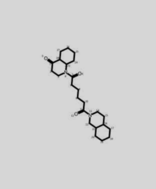 O=C1CCN(C(=O)CCCCC(=O)N2CCC3CCCCC3C2)C2CCCCC12